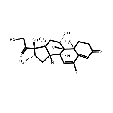 C[C@H]1C[C@H]2[C@@H]3C=C(F)C4=CC(=O)CC[C@]4(C)[C@@]3(Cl)[C@@H](O)C[C@]2(C)[C@@]1(O)C(=O)CO